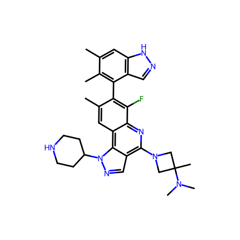 Cc1cc2[nH]ncc2c(-c2c(C)cc3c(nc(N4CC(C)(N(C)C)C4)c4cnn(C5CCNCC5)c43)c2F)c1C